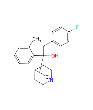 Cc1ccccc1C(O)(Cc1ccc(F)cc1)C1CN2CCC1CC2